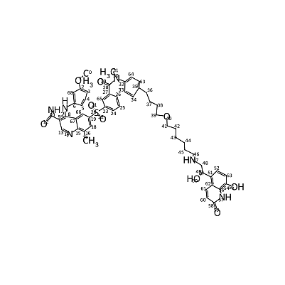 COc1cccc(Nc2c(C(N)=O)cnc3c(C)cc(S(=O)(=O)c4cccc(C(=O)N(C)c5ccc(CCCCOCCCCCCNC[C@H](O)c6ccc(O)c7[nH]c(=O)ccc67)cc5)c4)cc23)c1